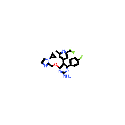 Cc1cc(-c2c(OCc3nccn3C3CC3)nc(N)nc2-c2ccc(F)cc2)cc(C(F)F)n1